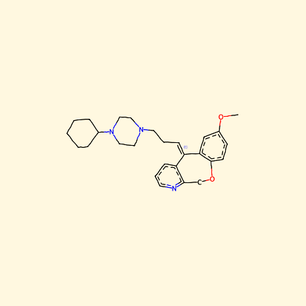 COc1ccc2c(c1)/C(=C/CCN1CCN(C3CCCCC3)CC1)c1cccnc1CO2